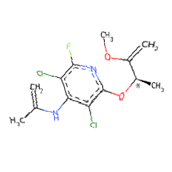 C=C(C)Nc1c(Cl)c(F)nc(O[C@H](C)C(=C)OC)c1Cl